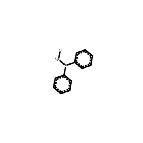 [O]PP(c1ccccc1)c1ccccc1